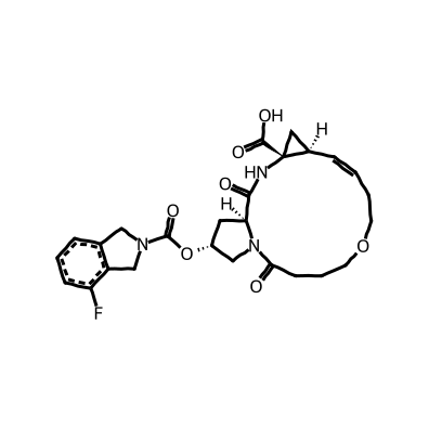 O=C1N[C@]2(C(=O)O)C[C@H]2/C=C\CCOCCCC(=O)N2C[C@H](OC(=O)N3Cc4cccc(F)c4C3)C[C@@H]12